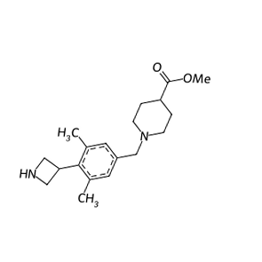 COC(=O)C1CCN(Cc2cc(C)c(C3CNC3)c(C)c2)CC1